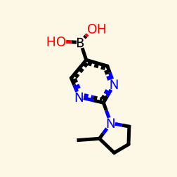 CC1CCCN1c1ncc(B(O)O)cn1